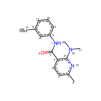 Cc1ccc(C(=O)Nc2cc[c]c(C(C)(C)C)c2)c(N(C)C)n1